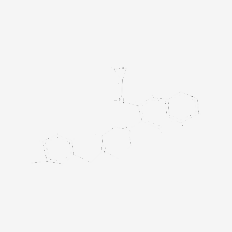 Cc1cccc(CN2CCN(c3cc4ccccc4cc3NC3CC3)CC2)c1